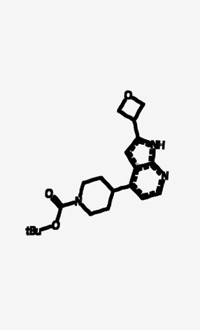 CC(C)(C)OC(=O)N1CCC(c2ccnc3[nH]c(C4COC4)cc23)CC1